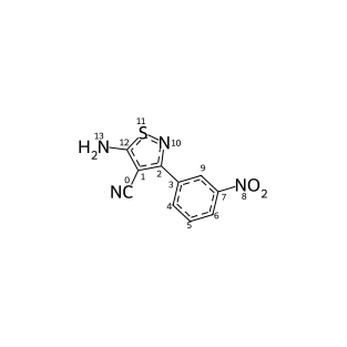 N#Cc1c(-c2cccc([N+](=O)[O-])c2)nsc1N